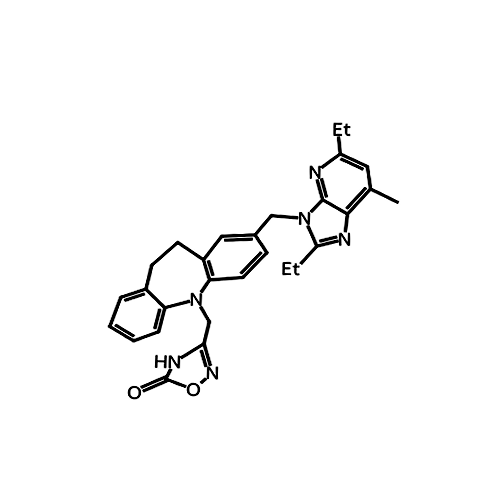 CCc1cc(C)c2nc(CC)n(Cc3ccc4c(c3)CCc3ccccc3N4Cc3noc(=O)[nH]3)c2n1